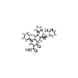 N#Cc1cccnc1OC[C@H]1CCCN1c1cc2c(cc1Cl)c(=O)c(C(=O)O)cn2-c1ccccc1